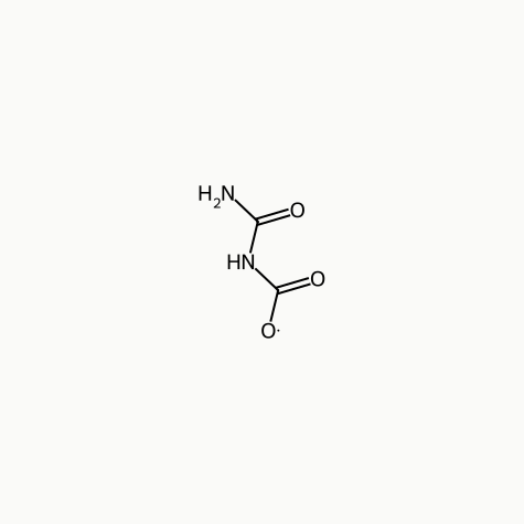 NC(=O)NC([O])=O